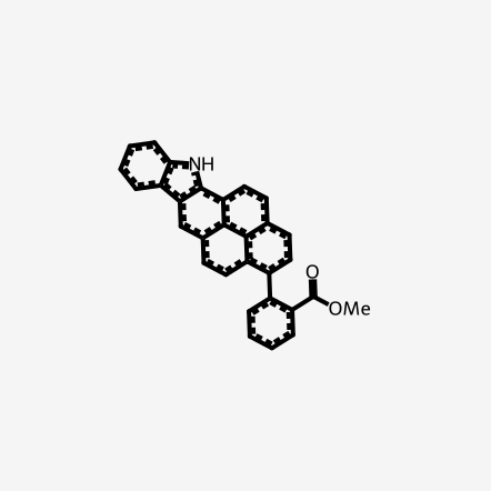 COC(=O)c1ccccc1-c1ccc2ccc3c4[nH]c5ccccc5c4cc4ccc1c2c43